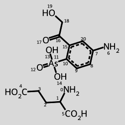 NC(CCC(=O)O)C(=O)O.Nc1ccc([As](=O)(O)O)c(C(=O)CO)c1